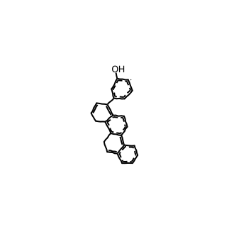 Oc1[c]ccc(C2=c3ccc4c(c3CC=C2)CC=c2ccccc2=4)c1